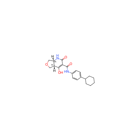 O=C(Nc1ccc(C2CCCCC2)cc1)C1=C(O)[C@@H]2COC[C@@H]2NC1=O